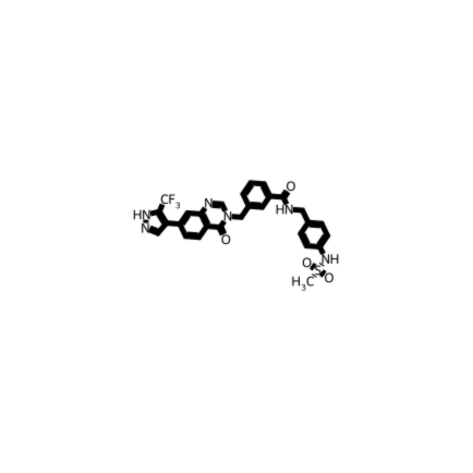 CS(=O)(=O)Nc1ccc(CNC(=O)c2cccc(Cn3cnc4cc(-c5cn[nH]c5C(F)(F)F)ccc4c3=O)c2)cc1